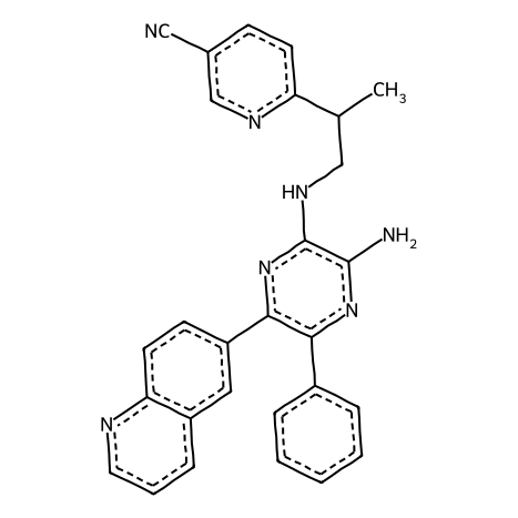 CC(CNc1nc(-c2ccc3ncccc3c2)c(-c2ccccc2)nc1N)c1ccc(C#N)cn1